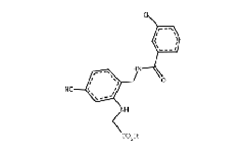 CCOC(=O)CNc1cc(C#N)ccc1CNC(=O)c1cccc(Cl)c1